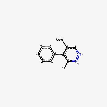 CNc1cnnc(C)c1-c1ccccc1